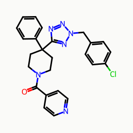 O=C(c1ccncc1)N1CCC(c2ccccc2)(c2nnn(Cc3ccc(Cl)cc3)n2)CC1